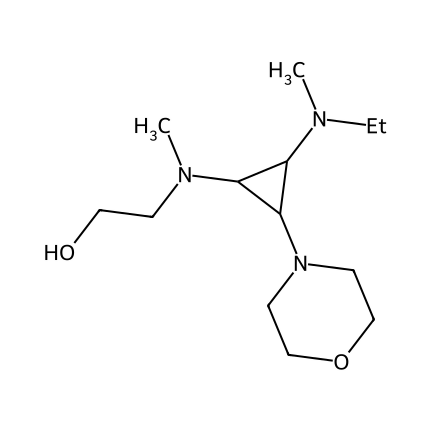 CCN(C)C1C(N(C)CCO)C1N1CCOCC1